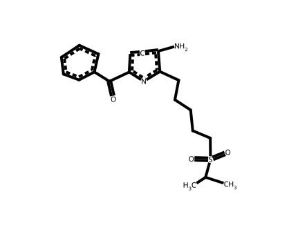 CC(C)S(=O)(=O)CCCCCc1nc(C(=O)c2ccccc2)ccc1N